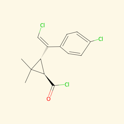 CC1(C)[C@H](C(=O)Cl)[C@H]1/C(=C/Cl)c1ccc(Cl)cc1